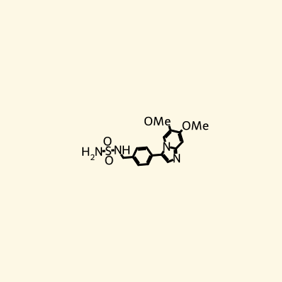 COc1cc2ncc(-c3ccc(CNS(N)(=O)=O)cc3)n2cc1OC